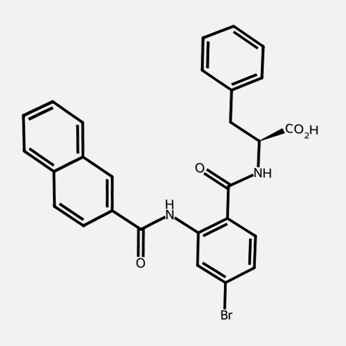 O=C(Nc1cc(Br)ccc1C(=O)N[C@@H](Cc1ccccc1)C(=O)O)c1ccc2ccccc2c1